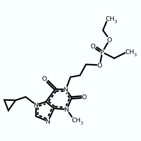 CCOP(=O)(CC)OCCCn1c(=O)c2c(ncn2CC2CC2)n(C)c1=O